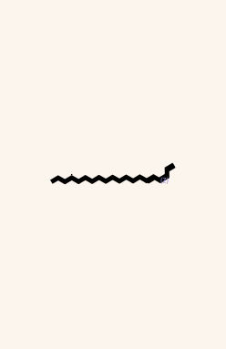 C=C/C=C\C=CCCCCCCCCCC[CH]CCC